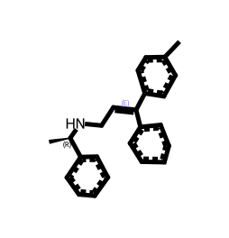 Cc1ccc(/C(=C/CN[C@H](C)c2ccccc2)c2ccccc2)cc1